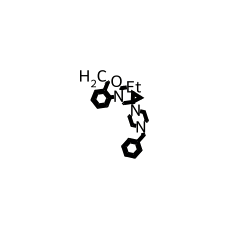 C=Cc1ccccc1N(CC1(N2CCN(Cc3ccccc3)CC2)CC1)C(=O)CC